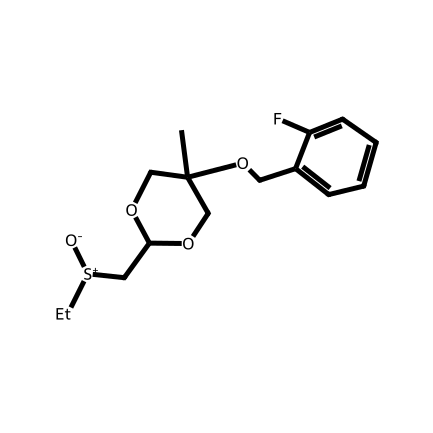 CC[S+]([O-])CC1OCC(C)(OCc2ccccc2F)CO1